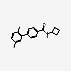 Cc1ccc(C)c(-c2ccc(C(=O)NC3CCC3)cc2)c1